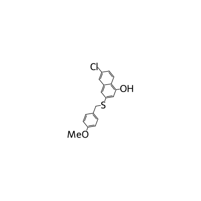 COc1ccc(CSc2cc(O)c3ccc(Cl)cc3c2)cc1